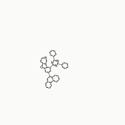 c1ccc(-c2nc(-c3ccccc3)nc(-c3cc(-c4cc5ccccc5c5ccccc45)cc4oc5ccncc5c34)n2)cc1